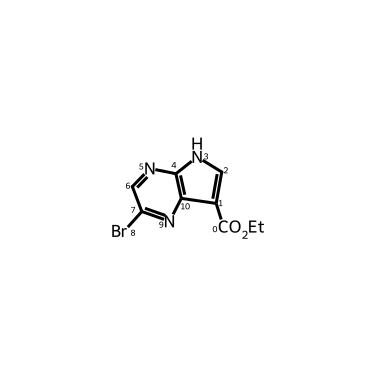 CCOC(=O)c1c[nH]c2ncc(Br)nc12